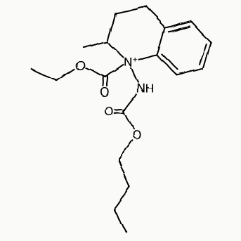 CCCCOC(=O)N[N+]1(C(=O)OCC)c2ccccc2CCC1C